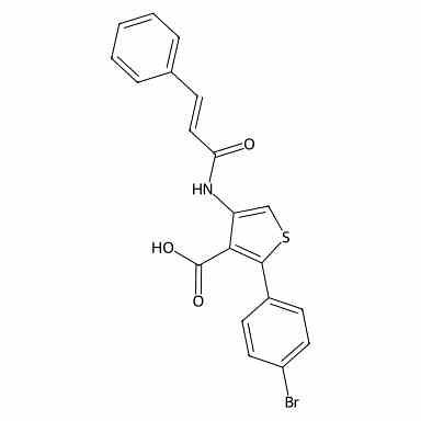 O=C(/C=C/c1ccccc1)Nc1csc(-c2ccc(Br)cc2)c1C(=O)O